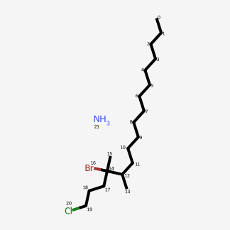 CCCCCCCCCCCCC(C)C(C)(Br)CCCCl.N